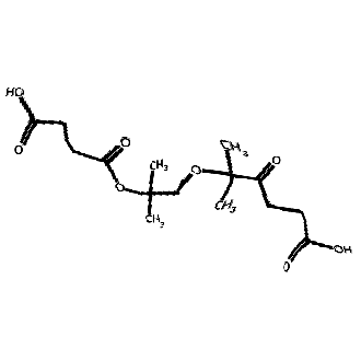 CC(C)(COC(C)(C)C(=O)CCC(=O)O)OC(=O)CCC(=O)O